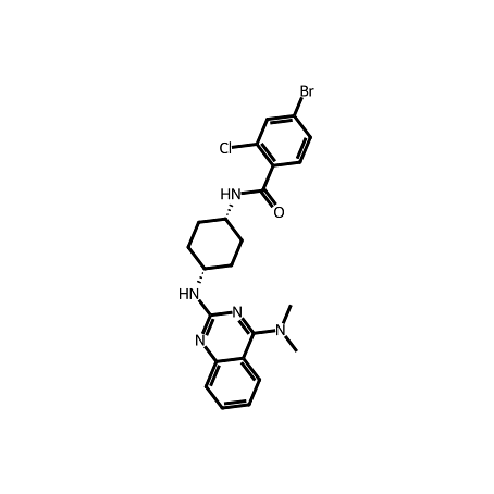 CN(C)c1nc(N[C@H]2CC[C@@H](NC(=O)c3ccc(Br)cc3Cl)CC2)nc2ccccc12